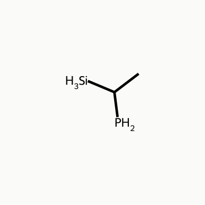 CC([SiH3])P